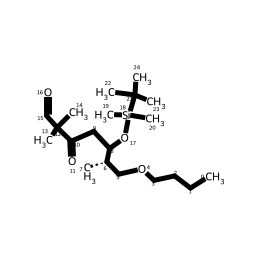 CCCCOC[C@H](C)C(CC(=O)C(C)(C)C=O)O[Si](C)(C)C(C)(C)C